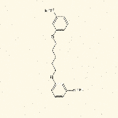 CC(=O)Nc1cccc(OCCCCCOc2cccc(NC(C)=O)c2)c1